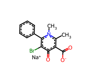 Cc1c(C(=O)[O-])c(=O)c(Br)c(-c2ccccc2)n1C.[Na+]